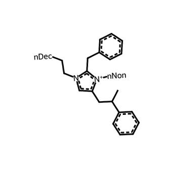 CCCCCCCCCCCCn1cc(CC(C)c2ccccc2)[n+](CCCCCCCCC)c1Cc1ccccc1